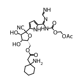 CC(=O)OCOC(=O)N/C(=N/C=N)c1ccc([C@]2(C#N)O[C@H](COC(=O)CC3(N)CCCCC3)[C@@H](O)[C@H]2O)[nH]1